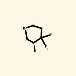 C[C@H]1CNCCC1(F)F